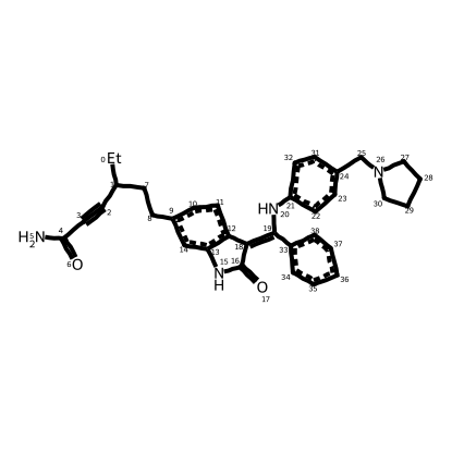 CCC(C#CC(N)=O)CCc1ccc2c(c1)NC(=O)C2=C(Nc1ccc(CN2CCCC2)cc1)c1ccccc1